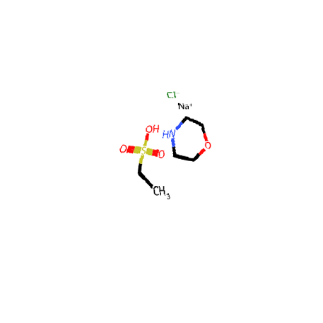 C1COCCN1.CCS(=O)(=O)O.[Cl-].[Na+]